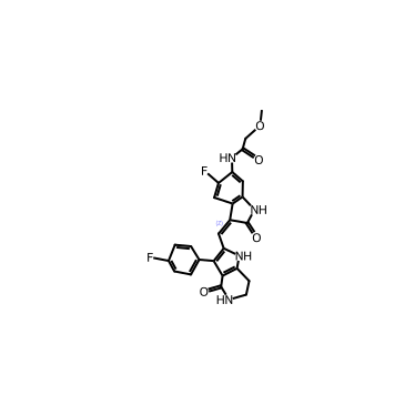 COCC(=O)Nc1cc2c(cc1F)/C(=C/c1[nH]c3c(c1-c1ccc(F)cc1)C(=O)NCC3)C(=O)N2